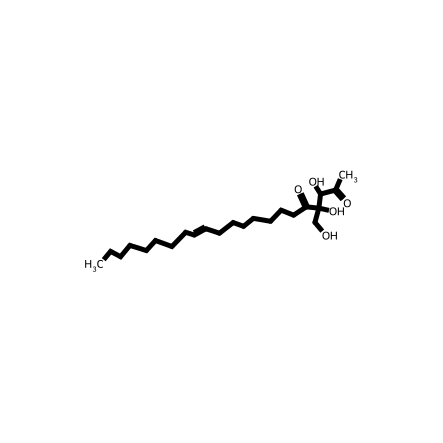 CCCCCCCCC=CCCCCCCCC(=O)C(O)(CO)C(O)C(C)=O